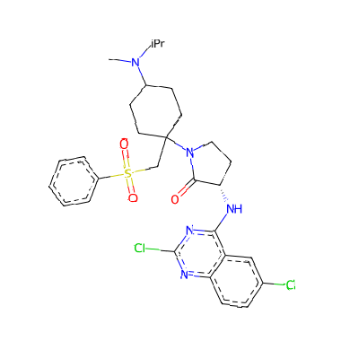 CC(C)N(C)C1CCC(CS(=O)(=O)c2ccccc2)(N2CC[C@H](Nc3nc(Cl)nc4ccc(Cl)cc34)C2=O)CC1